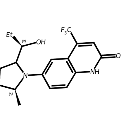 CC[C@@H](O)C1CC[C@H](C)N1c1ccc2[nH]c(=O)cc(C(F)(F)F)c2c1